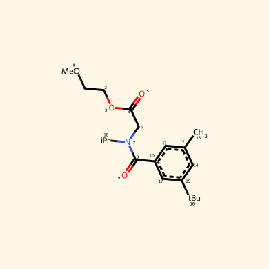 COCCOC(=O)CN(C(=O)c1cc(C)cc(C(C)(C)C)c1)C(C)C